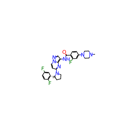 CN1CCN(c2ccc(C(=O)Nc3cnn4ccc(N5CCC[C@@H]5c5cc(F)ccc5F)nc34)c(F)c2)CC1